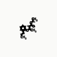 CCCc1ccccc1OC(C)=CC(=O)OCC